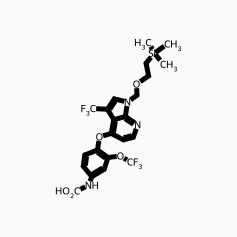 C[Si](C)(C)CCOCn1cc(C(F)(F)F)c2c(Oc3ccc(NC(=O)O)cc3OC(F)(F)F)ccnc21